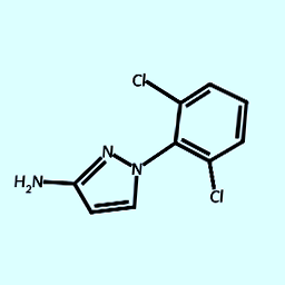 Nc1ccn(-c2c(Cl)cccc2Cl)n1